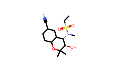 CCS(=O)(=O)N(C)[C@H]1C2CC(C#N)CCC2OC(C)(C)[C@@H]1O